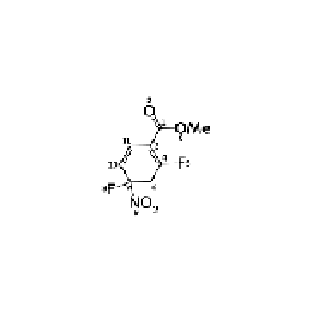 COC(=O)C1=C(F)CC(F)([N+](=O)[O-])C=C1